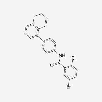 O=C(Nc1ccc(-c2cccc3c2C=CCC3)cc1)c1cc(Br)ccc1Cl